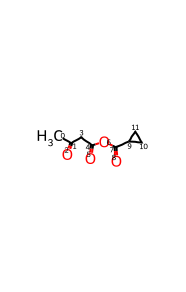 CC(=O)CC(=O)OC(=O)C1CC1